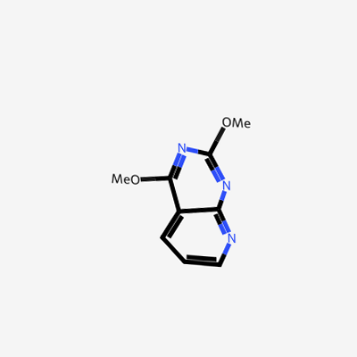 COc1nc(OC)c2cccnc2n1